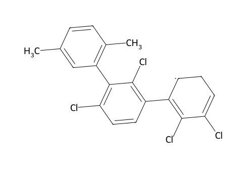 Cc1ccc(C)c(-c2c(Cl)ccc(C3=C(Cl)C(Cl)=CC[CH]3)c2Cl)c1